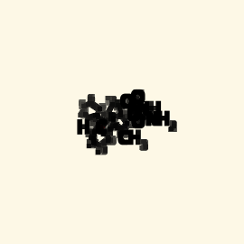 C=C(c1ccccc1)[C@@]12CC[C@H](OS(=O)(=O)NC(N)=O)C1CC(C)=C2c1ccccc1